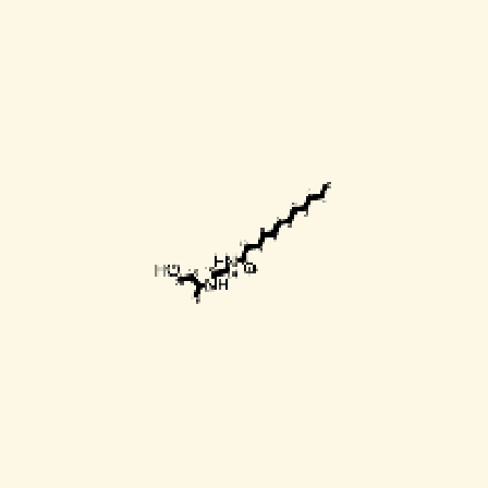 CCCCCCCCCCCC(=O)NCCNC(C)CCO